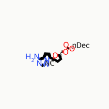 CCCCCCCCCCOC(=O)OC[C@@H]1CC[C@](C#N)(c2ccc3c(N)ncnn23)O1